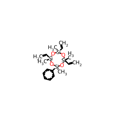 C=C[Si]1(C)O[Si](C)(C=C)O[Si](C)(c2ccccc2)O[Si](C)(C=C)O1